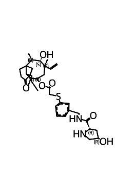 C=C[C@]1(C)C[C@@H](OC(=O)CSc2cccc(CNC(=O)[C@H]3C[C@@H](O)CN3)c2)[C@]2(C)C(C)CC34CC(CCC3=O)(C42)[C@@H](C)[C@@H]1O